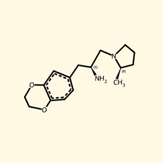 C[C@@H]1CCCN1C[C@@H](N)Cc1ccc2c(c1)OCCO2